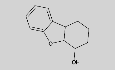 OC1CCCC2c3ccccc3OC12